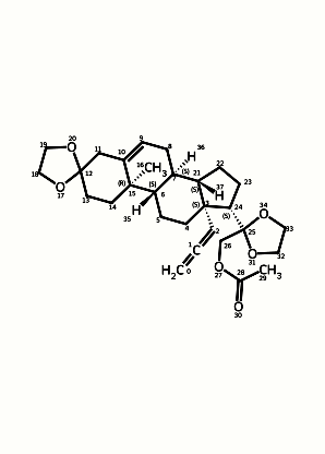 C=C=C[C@]12CC[C@H]3[C@@H](CC=C4CC5(CC[C@@]43C)OCCO5)[C@@H]1CC[C@@H]2C1(COC(C)=O)OCCO1